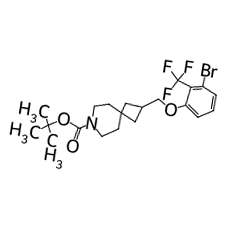 CC(C)(C)OC(=O)N1CCC2(CC1)CC(COc1cccc(Br)c1C(F)(F)F)C2